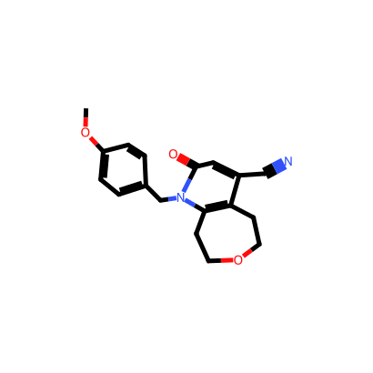 COc1ccc(Cn2c3c(c(C#N)cc2=O)CCOCC3)cc1